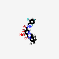 O=C(NCc1c(F)cc(F)cc1F)c1cn2c(c(O)c1=O)C(=O)N1C3C[C@@H]([C@@H]4C[C@H]34)[C@@H]1C2